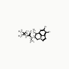 C[C@H]1c2cc(F)c(F)c3ccn(c23)C[C@@H]1N(C)C(=O)OC(C)(C)C